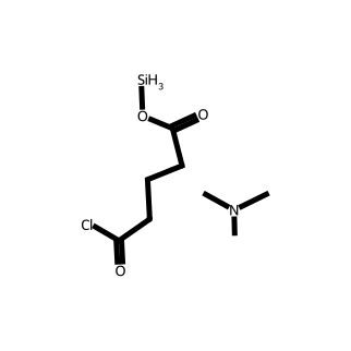 CN(C)C.O=C(Cl)CCCC(=O)O[SiH3]